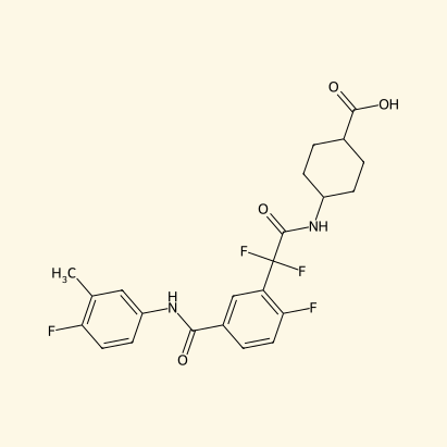 Cc1cc(NC(=O)c2ccc(F)c(C(F)(F)C(=O)NC3CCC(C(=O)O)CC3)c2)ccc1F